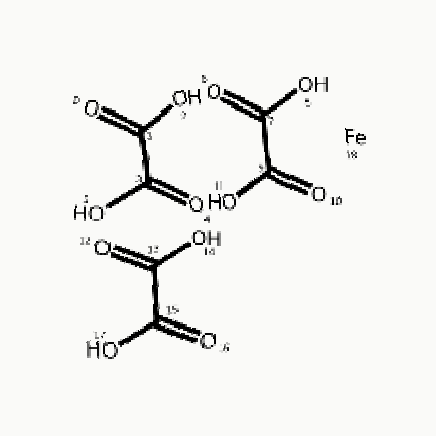 O=C(O)C(=O)O.O=C(O)C(=O)O.O=C(O)C(=O)O.[Fe]